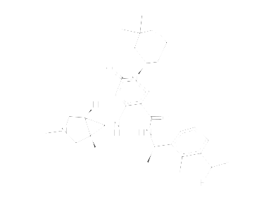 C[C@@H](NC(=O)c1cn([C@@H]2CCOC(C)(C)C2)c(=O)cc1N[C@@H]1[C@@H]2CN(C)C[C@@H]21)c1cccc(C(F)F)c1F